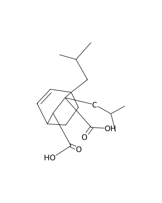 CC(C)CC12C=CC(CC1)C(C(=O)O)C2(CC(C)C)C(=O)O